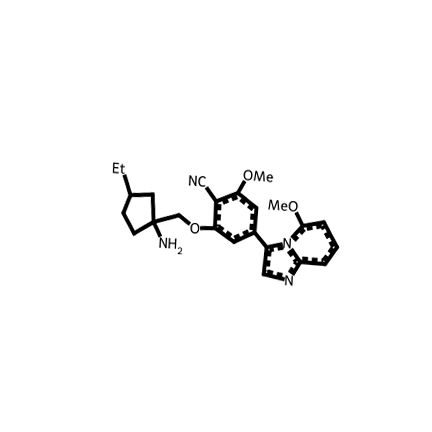 CCC1CCC(N)(COc2cc(-c3cnc4cccc(OC)n34)cc(OC)c2C#N)C1